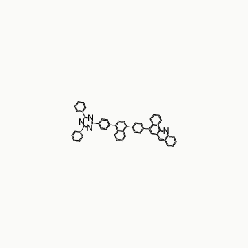 c1ccc(-c2nc(-c3ccccc3)nc(-c3ccc(-c4ccc(-c5ccc(-c6cc7cc8ccccc8nc7c7ccccc67)cc5)c5ccccc45)cc3)n2)cc1